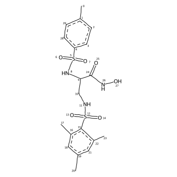 Cc1ccc(S(=O)(=O)NC(CNS(=O)(=O)c2c(C)cc(C)cc2C)C(=O)NO)cc1